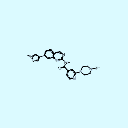 CC(C)N1CCN(c2cc(C(=O)Nc3ncc4ccc(-c5cnn(C)c5)cc4n3)ccn2)CC1